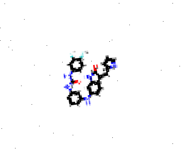 O=C(Nc1cccc(Nc2ccc3c(c2)NC(=O)C3=Cc2ccc[nH]2)c1)Nc1ccc(F)c(F)c1